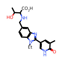 CCn1c(-c2c[nH]c(=O)c(C)c2)nc2cc(CNC(C(=O)O)C(C)O)ccc21